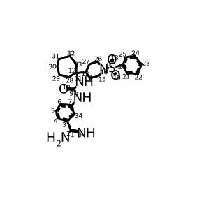 N=C(N)c1cccc(NC(=O)NC2(C3CCN(S(=O)(=O)c4ccccc4)CC3)CCCCCC2)c1